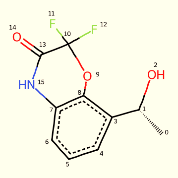 C[C@@H](O)c1cccc2c1OC(F)(F)C(=O)N2